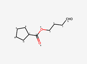 O=CCCCOC(=O)C1CCCC1